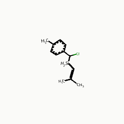 CC(C)=C[SiH2]C(Cl)c1ccc(C)cc1